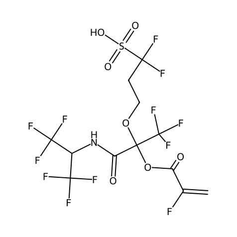 C=C(F)C(=O)OC(OCCC(F)(F)S(=O)(=O)O)(C(=O)NC(C(F)(F)F)C(F)(F)F)C(F)(F)F